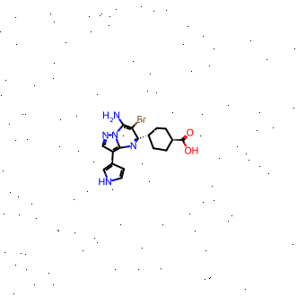 Nc1c(Br)c([C@H]2CC[C@H](C(=O)O)CC2)nc2c(-c3cc[nH]c3)cnn12